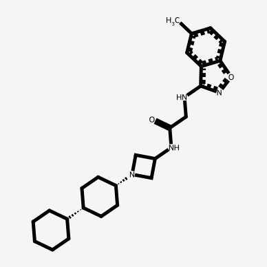 Cc1ccc2onc(NCC(=O)NC3CN([C@H]4CC[C@@H](C5CCCCC5)CC4)C3)c2c1